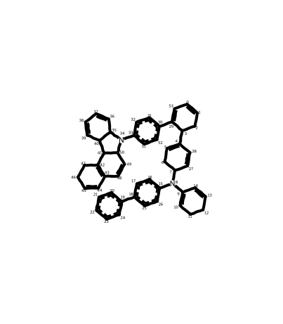 C1=CCC(C2=CCC(N(C3=CCCC=C3)c3ccc(-c4ccccc4)cc3)C=C2)C(c2ccc(N3C4C=CC=CC4C4C5=C(C=CCC5)C=CC43)cc2)=C1